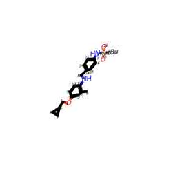 Cc1cc(OCC2CC2)ccc1NCc1ccc(NS(=O)(=O)C(C)(C)C)cc1